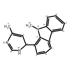 CC1=CC(c2cccc3c4ccccc4n(C)c23)NC=N1